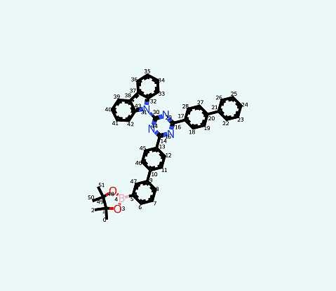 CC1(C)OB(c2cccc(-c3ccc(-c4nc(-c5ccc(-c6ccccc6)cc5)nc(-n5c6ccccc6c6ccccc65)n4)cc3)c2)OC1(C)C